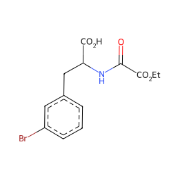 CCOC(=O)C(=O)NC(Cc1cccc(Br)c1)C(=O)O